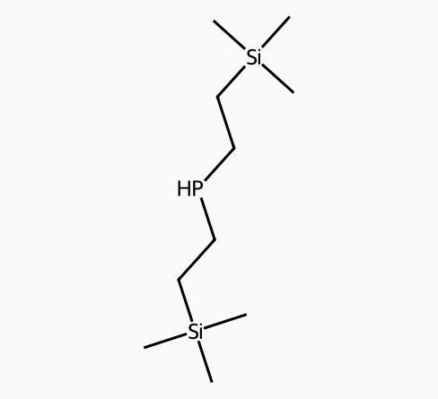 C[Si](C)(C)CCPCC[Si](C)(C)C